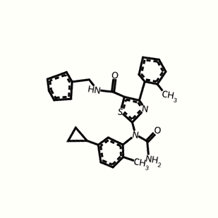 Cc1ccccc1-c1nc(N(C(N)=O)c2cc(C3CC3)ccc2C)sc1C(=O)NCc1ccccc1